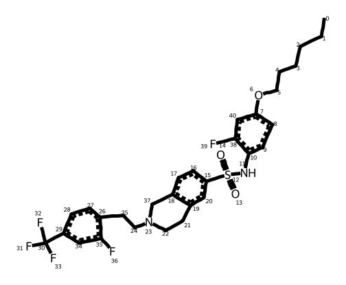 CCCCCCOc1ccc(NS(=O)(=O)c2ccc3c(c2)CCN(CCc2ccc(C(F)(F)F)cc2F)C3)c(F)c1